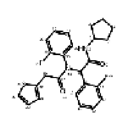 O=C(NC1CCCC1)C(c1ccccc1F)N(C(=O)Cc1cccs1)c1ccccc1F